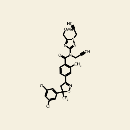 C#CCN(C(=O)c1ccc(C2=NOC(c3cc(Cl)cc(Cl)c3)(C(F)(F)F)C2)cc1C)c1nc(COC)n(CC#C)n1